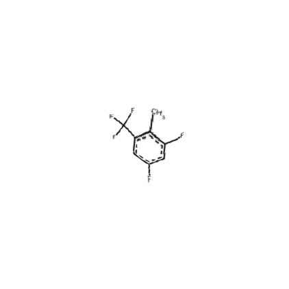 Cc1c(F)cc(F)cc1C(F)(F)F